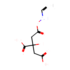 C=CNOC(=O)CC(O)(CC(=O)O)C(=O)O